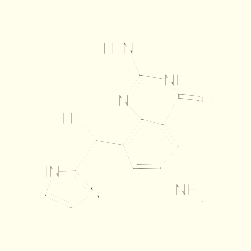 Nc1cc(C(S)c2ncc[nH]2)c2nc(N)[nH]c(=O)c2c1